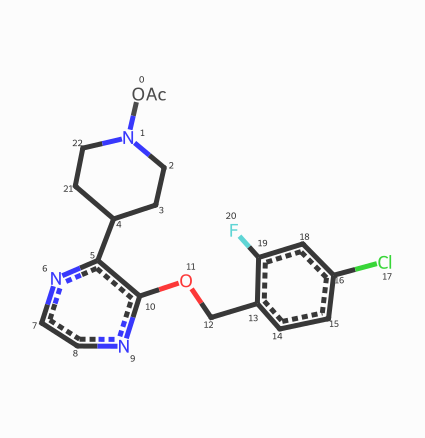 CC(=O)ON1CCC(c2nccnc2OCc2ccc(Cl)cc2F)CC1